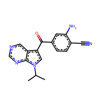 CC(C)n1cc(C(=O)c2ccc(C#N)c(N)c2)c2cncnc21